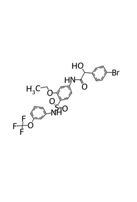 CCOc1cc(NC(=O)C(O)c2ccc(Br)cc2)ccc1S(=O)(=O)Nc1cccc(OC(F)(F)F)c1